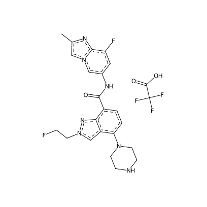 Cc1cn2cc(NC(=O)c3ccc(N4CCNCC4)c4cn(CCF)nc34)cc(F)c2n1.O=C(O)C(F)(F)F